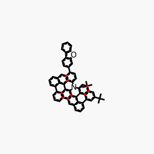 CC(C)(C)c1cc(-c2cccc3cccc(-c4ccccc4N(c4ccc(-c5ccc6c(c5)oc5ccccc56)cc4)c4ccccc4-c4cccc5cccc(-c6ccccc6)c45)c23)cc(C(C)(C)C)c1